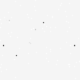 CCOc1nc(CCOC)nc2nc([S+](C)[O-])sc12